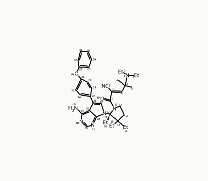 CCN(CC)C(C)(C)C=C(C#N)C(=O)N1CCC(CC)(CC)[C@]1(CC)n1cc(-c2ccc(Oc3ccccc3)cc2)c2c(N)ncnc21